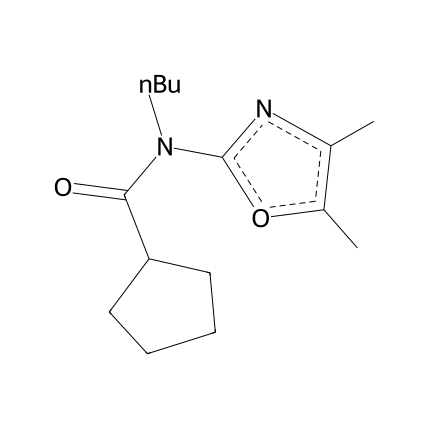 CCCCN(C(=O)C1CCCC1)c1nc(C)c(C)o1